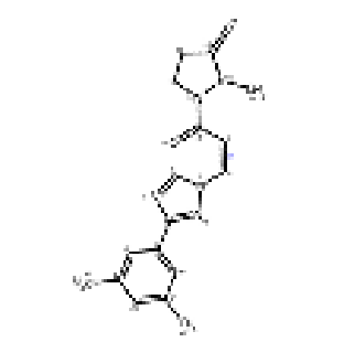 Cc1cc(-c2ncn(/C=C\C(=O)N3CCC(=O)N3C)n2)cc(C(F)(F)F)c1